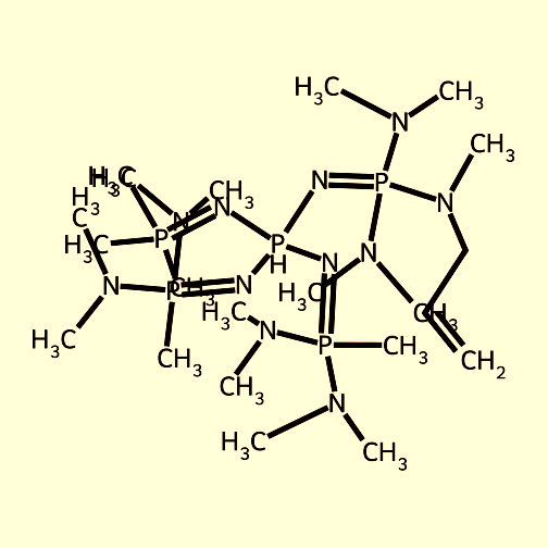 C=CCN(C)P(=N[PH](N=P(C)(C)C)(N=P(C)(N(C)C)N(C)C)N=P(C)(N(C)C)N(C)C)(N(C)C)N(C)C